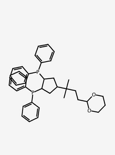 CC(C)(CCC1OCCCO1)C1CC(P(c2ccccc2)c2ccccc2)C(P(c2ccccc2)c2ccccc2)C1